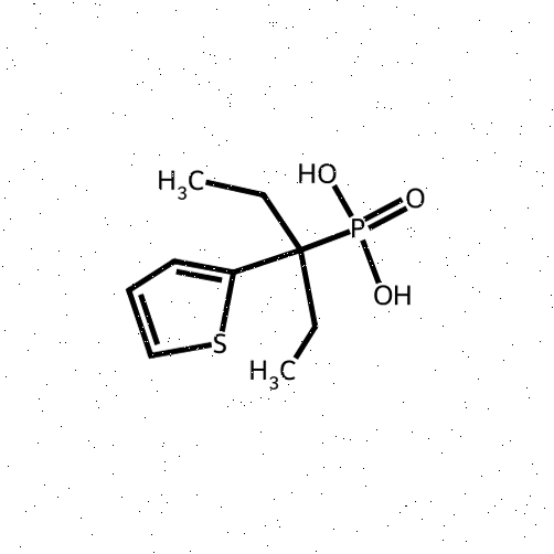 CCC(CC)(c1cccs1)P(=O)(O)O